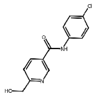 O=C(Nc1ccc(Cl)cc1)c1ccc(CO)nc1